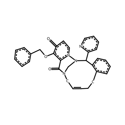 O=C1c2c(OCc3ccccc3)c(=O)ccn2N2CN1C/C=C\CCc1ccccc1C2c1ccccn1